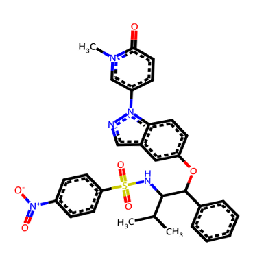 CC(C)C(NS(=O)(=O)c1ccc([N+](=O)[O-])cc1)C(Oc1ccc2c(cnn2-c2ccc(=O)n(C)c2)c1)c1ccccc1